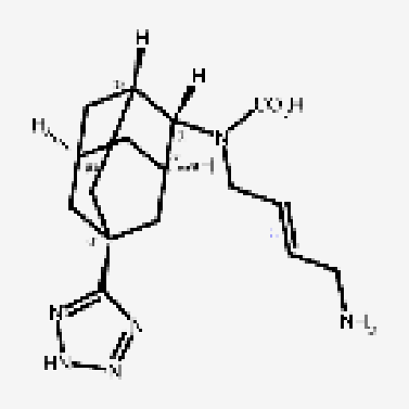 NC/C=C/CN(C(=O)O)[C@@H]1[C@@H]2C[C@@H]3C[C@H]1C[C@@](c1nn[nH]n1)(C3)C2